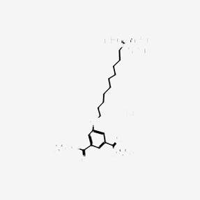 CCCC[P+](CCCC)(CCCC)CCCCCCCCCCOc1cc(C(=O)OC)cc(C(=O)OC)c1.[Br-]